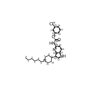 CCCCCCN1CCC(c2c[nH]c3ccc(NC(=O)Oc4cccc(Cl)c4)nc23)CC1